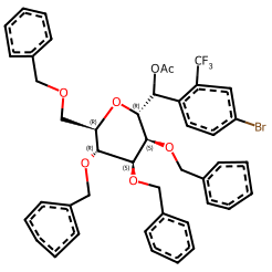 CC(=O)OC(c1ccc(Br)cc1C(F)(F)F)[C@H]1O[C@H](COCc2ccccc2)[C@@H](OCc2ccccc2)[C@H](OCc2ccccc2)[C@@H]1OCc1ccccc1